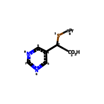 CCCSC(C(=O)O)c1cncnc1